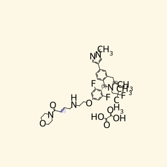 C[C@@H]1Cc2cc(-c3cnn(C)c3)ccc2[C@@H](c2c(F)cc(OCCNC/C=C/C(=O)N3CCOCC3)cc2F)N1CC(C)(C)F.O=C(O)C(=O)O